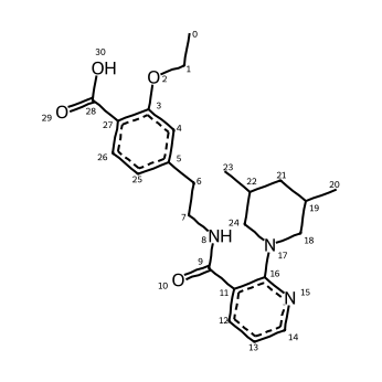 CCOc1cc(CCNC(=O)c2cccnc2N2CC(C)CC(C)C2)ccc1C(=O)O